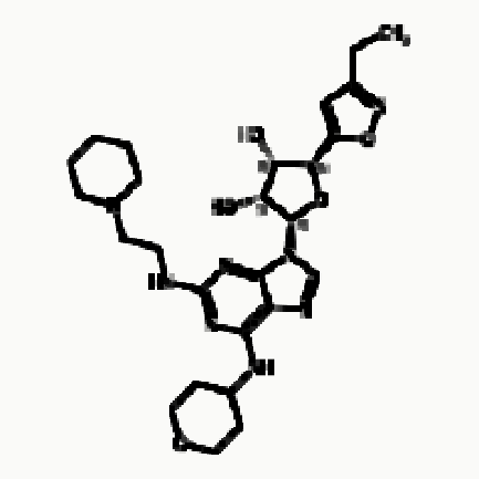 CCc1cc([C@H]2O[C@@H](n3cnc4c(NC5CCOCC5)nc(NCCN5CCCCC5)nc43)[C@H](O)[C@@H]2O)on1